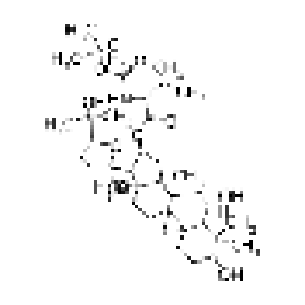 CC(C)C(NC(=O)OC(C)(C)C)C(=O)O[C@H]1C[C@@]2(C)C3C[C@H](O)[C@H]4C(C)(C)[C@@H](O)CCC45CC35CC[C@]2(C)[C@H]1[C@@]1(C)CC[C@@H](C(C)(C)O)O1